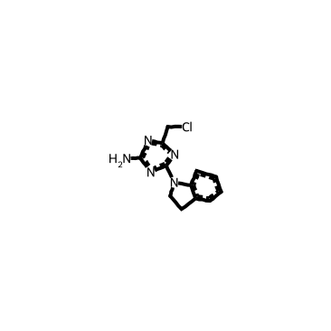 Nc1nc(CCl)nc(N2CCc3ccccc32)n1